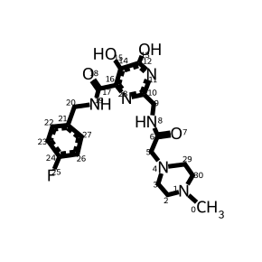 CN1CCN(CC(=O)NCc2nc(O)c(O)c(C(=O)NCc3ccc(F)cc3)n2)CC1